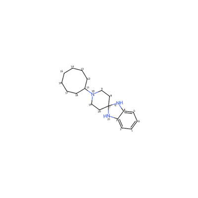 c1ccc2c(c1)NC1(CCN(C3CCCCCCC3)CC1)N2